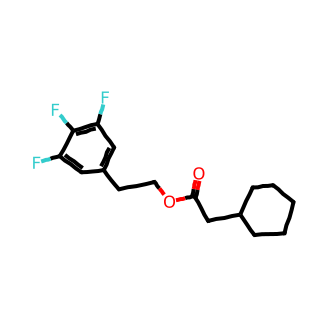 O=C(CC1CCCCC1)OCCc1cc(F)c(F)c(F)c1